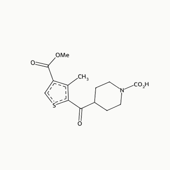 COC(=O)c1csc(C(=O)C2CCN(C(=O)O)CC2)c1C